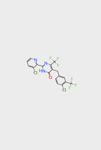 O=c1[nH]c(-c2ncccc2Cl)nc(C(F)(F)F)c1Cc1ccc(Cl)c(C(F)(F)F)c1